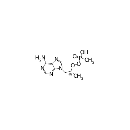 C[C@H](Cn1cnc2c(N)ncnc21)OOP(C)(=O)O